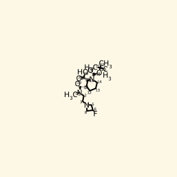 CN(CCN1CC(F)C1)C(=O)[C@H]1CCCN(C(=O)OC(C)(C)C)[C@H]1C(=O)O